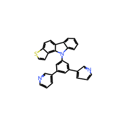 c1cncc(-c2cc(-c3cccnc3)cc(-n3c4ccccc4c4ccc5sccc5c43)c2)c1